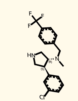 CN(Cc1ccc(C(F)(F)F)cc1)[C@H]1CNC[C@@H]1c1cccc(Cl)c1